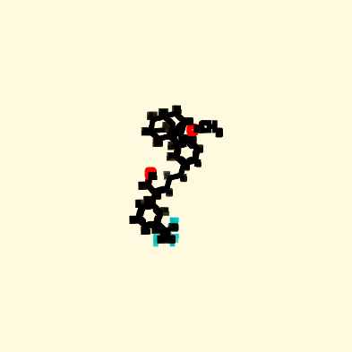 COc1ccc(CCC=C(C=O)c2cccc(C(F)(F)F)c2)cc1C12CC3CC(CC(C3)C1)C2